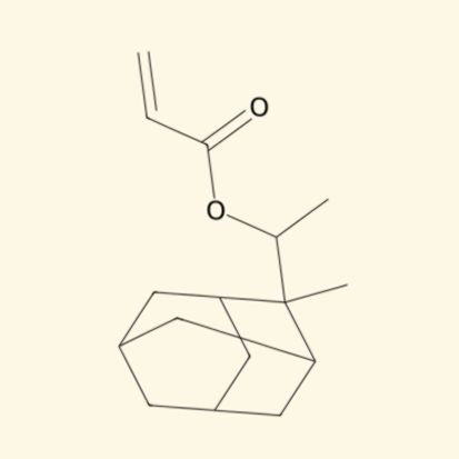 C=CC(=O)OC(C)C1(C)C2CC3CC(C2)CC1C3